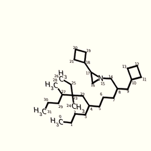 CCCCC(CCCC(CC1CCC1)CN1CC1C1CCC1)CC(C)(CC)C(C)CCC